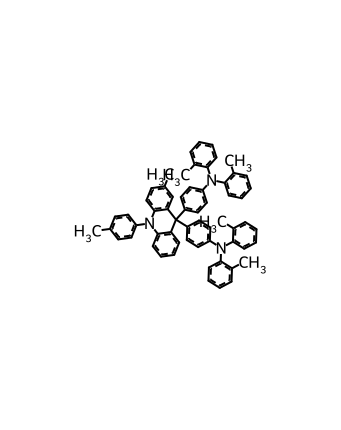 Cc1ccc(N2c3ccccc3C(c3ccc(N(c4ccccc4C)c4ccccc4C)cc3)(c3ccc(N(c4ccccc4C)c4ccccc4C)cc3)c3cc(C)ccc32)cc1